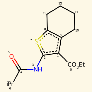 CCOC(=O)c1c(NC(=O)C(C)C)sc2c1CCCC2